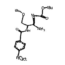 CCCCCCCCc1ccc(C(=O)NC(COC(C)(C)C)/C(N)=N/C(=O)OC(C)(C)C)cc1